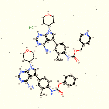 COc1cc(-c2cn(C3CCOCC3)c3ncnc(N)c23)ccc1NC(=O)OCc1ccncc1.COc1cc(-c2cn(C3CCOCC3)c3ncnc(N)c23)ccc1NC(=O)Oc1ccccc1.Cl